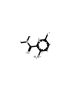 CN(C)C(=O)c1nc(I)ccc1N